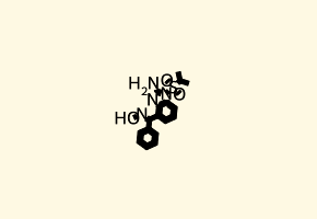 CC(C)S(=O)(=O)n1c(N)nc2c(C(=NO)c3ccccc3)cccc21